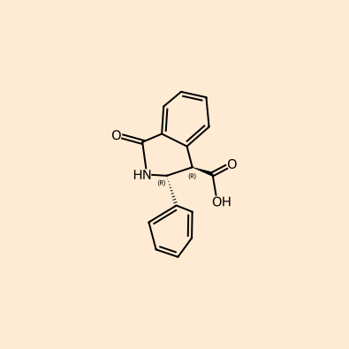 O=C1N[C@@H](c2ccccc2)[C@H](C(=O)O)c2ccccc21